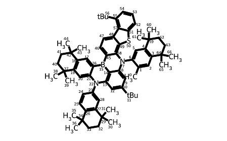 Cc1cc2c(cc1N1c3cc(C(C)(C)C)cc4c3B(c3cc5c(cc3N4c3ccc4c(c3)C(C)(C)CCC4(C)C)C(C)(C)CCC5(C)C)c3ccc4c(sc5cccc(C(C)(C)C)c54)c31)C(C)(C)CCC2(C)C